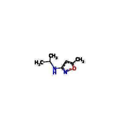 Cc1cc(NC(C)C)no1